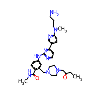 CCC(=O)CN1CCN(Cc2cc(Nc3nccc(-c4ccc(N(C)CCCN)nc4)n3)ccc2C(=O)NC)CC1